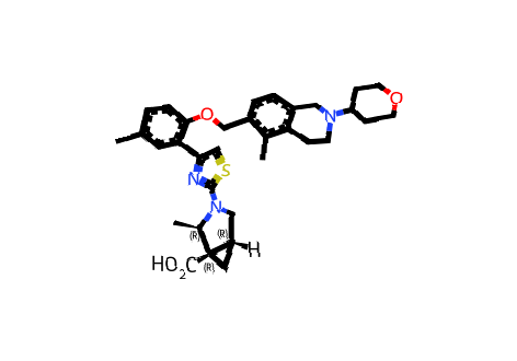 Cc1ccc(OCc2ccc3c(c2C)CCN(C2CCOCC2)C3)c(-c2csc(N3C[C@@H]4C[C@]4(C(=O)O)[C@H]3C)n2)c1